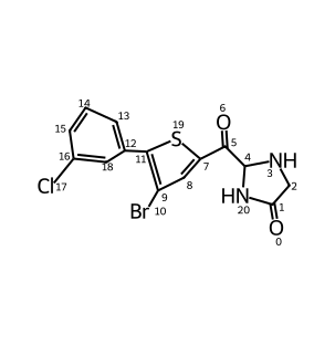 O=C1CNC(C(=O)c2cc(Br)c(-c3cccc(Cl)c3)s2)N1